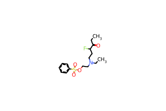 CCC(=O)C(F)CCN(CC)CCOS(=O)(=O)c1ccccc1